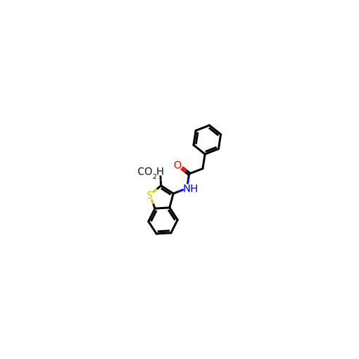 O=C(Cc1ccccc1)Nc1c(C(=O)O)sc2ccccc12